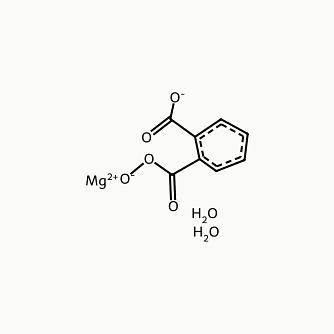 O.O.O=C([O-])c1ccccc1C(=O)O[O-].[Mg+2]